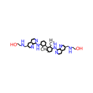 Cc1c(Nc2nccc3cc(CNCCO)cnc23)cccc1-c1cccc(Nc2nccc3cc(CNCCO)cnc23)c1C